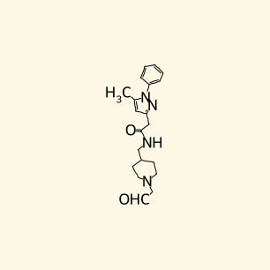 Cc1cc(CC(=O)NCC2CCN(CC=O)CC2)nn1-c1ccccc1